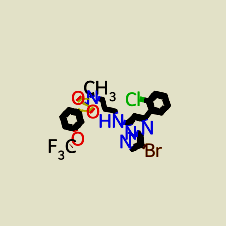 CN(CCCNc1cc(-c2ccccc2Cl)nc2c(Br)cnn12)S(=O)(=O)c1cccc(OC(F)(F)F)c1